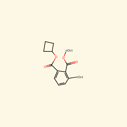 CCCCCCCCOC(=O)c1c(CCCCCCCC)cccc1C(=O)OC1CCC1